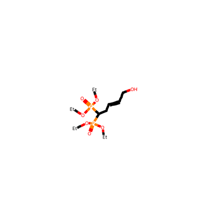 CCOP(=O)(OCC)C(C/C=C/CO)P(=O)(OCC)OCC